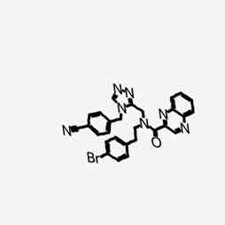 N#Cc1ccc(Cn2cnnc2CN(CCc2ccc(Br)cc2)C(=O)c2cnc3ccccc3n2)cc1